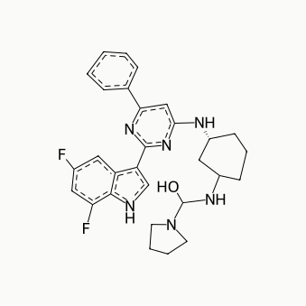 OC(NC1CCC[C@@H](Nc2cc(-c3ccccc3)nc(-c3c[nH]c4c(F)cc(F)cc34)n2)C1)N1CCCC1